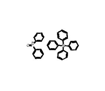 O=[PH](c1ccccc1)c1ccccc1.c1ccc([Si](c2ccccc2)(c2ccccc2)c2ccccc2)cc1